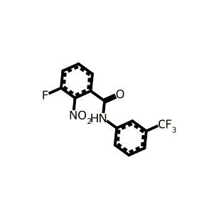 O=C(Nc1cccc(C(F)(F)F)c1)c1cccc(F)c1[N+](=O)[O-]